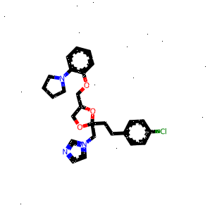 Clc1ccc(CCC2(Cn3ccnc3)OCC(COc3ccccc3N3CCCC3)O2)cc1